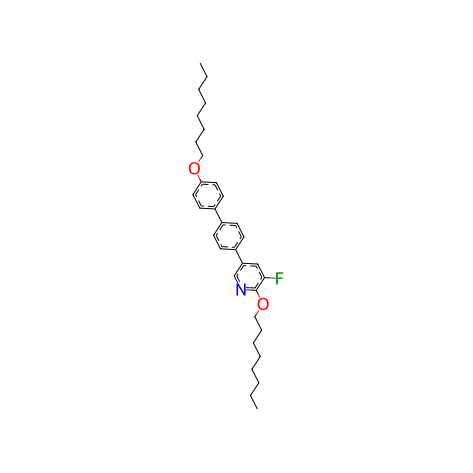 CCCCCCCCOc1ccc(-c2ccc(-c3cnc(OCCCCCCCC)c(F)c3)cc2)cc1